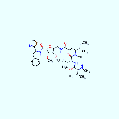 CC[C@H](C)C(/C=C/C(=O)NCC1O[C@@H](C(=O)N[C@@H](Cc2ccccc2)C2=NCCS2)[C@@H](OC)[C@@H]1OC)N(C)C(=O)[C@@H](NC(=O)[C@@H](NC)C(C)C)C(C)C